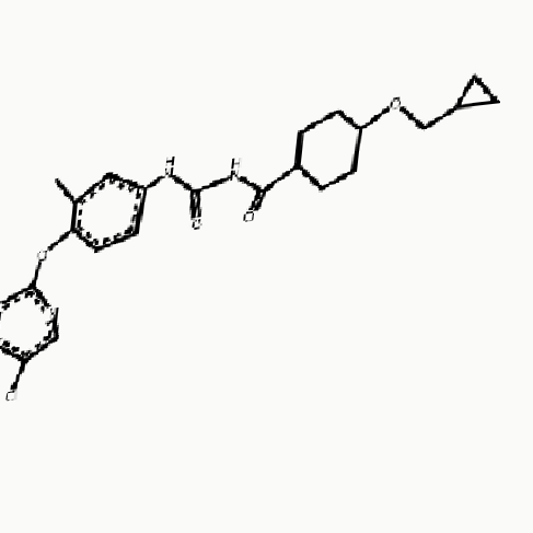 Cc1cc(NC(=O)NC(=O)C2CCC(OCC3CC3)CC2)ccc1Oc1ncc(Cl)cn1